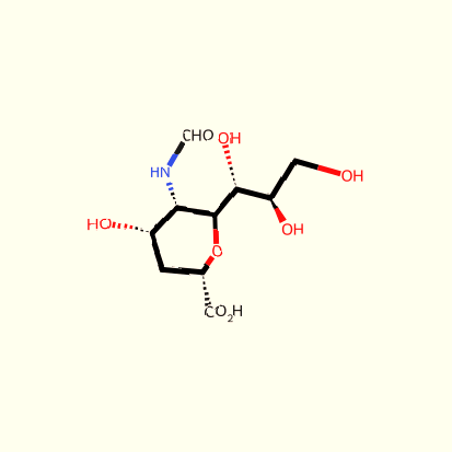 O=CN[C@@H]1C([C@H](O)[C@H](O)CO)O[C@H](C(=O)O)C[C@@H]1O